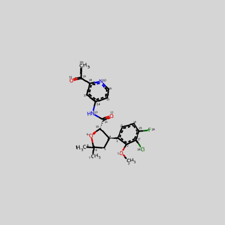 COc1c([C@H]2CC(C)(C)O[C@@H]2C(=O)Nc2ccnc(C(C)=O)c2)ccc(F)c1Cl